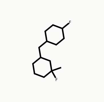 CC1(F)CCCC(CC2CCC(F)CC2)C1